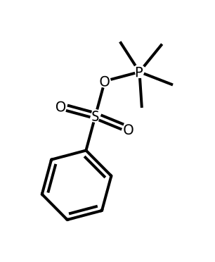 CP(C)(C)(C)OS(=O)(=O)c1ccccc1